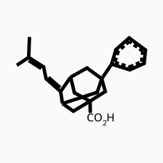 CC(C)=CC=C1C2CC3(C(=O)O)CC1CC(c1ccccc1)(C2)C3